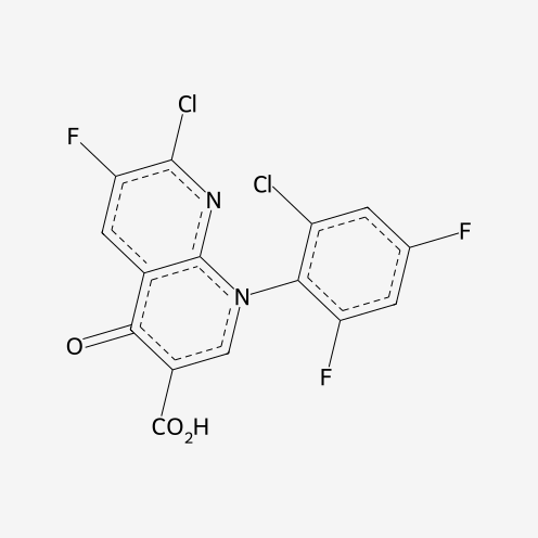 O=C(O)c1cn(-c2c(F)cc(F)cc2Cl)c2nc(Cl)c(F)cc2c1=O